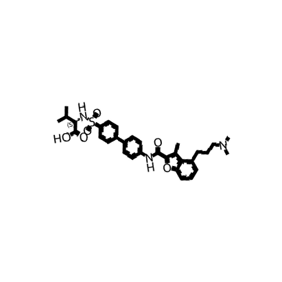 Cc1c(C(=O)Nc2ccc(-c3ccc(S(=O)(=O)N[C@H](C(=O)O)C(C)C)cc3)cc2)oc2cccc(CCCN(C)C)c12